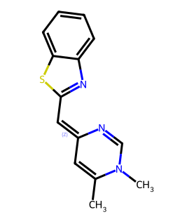 CC1=C/C(=C/c2nc3ccccc3s2)N=CN1C